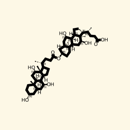 C[C@H](CCC(=O)O[C@@H]1CC[C@@]2(C)[C@@H](C1)C[C@H](O)[C@@H]1[C@@H]2C[C@H](O)[C@]2(C)[C@@H]([C@H](C)CCC(=O)O)CC[C@@H]12)C1CC[C@H]2[C@@H]3[C@@H](O)C[C@@H]4C[C@H](O)CC[C@]4(C)[C@H]3C[C@H](O)[C@]12C